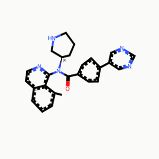 Cc1cccc2ccnc(N(C(=O)c3ccc(-c4cncnc4)cc3)[C@@H]3CCCNC3)c12